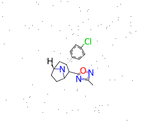 Cc1noc(C2C3CC[C@H](C[C@@H]2c2ccc(Cl)cc2)N3C)n1